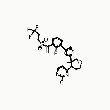 CC1(c2nc(-c3cccc(NS(=O)(=O)CCC(F)(F)F)c3F)cs2)COCCC1c1ccnc(Cl)n1